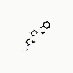 C[C@@H](c1ccccc1)N(C(O)=S)[C@@H]1O[C@@H](n2cc/c(=N/O)[nH]c2=O)[C@H](O)[C@@H]1O